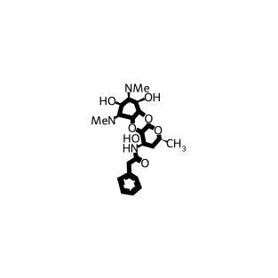 CN[C@@H]1[C@H](O)[C@H](NC)C2O[C@]3(O)C(OC2[C@@H]1O)O[C@H](C)C[C@H]3NC(=O)Cc1ccccc1